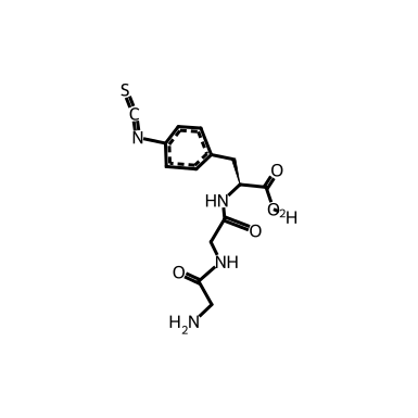 [2H]OC(=O)[C@H](Cc1ccc(N=C=S)cc1)NC(=O)CNC(=O)CN